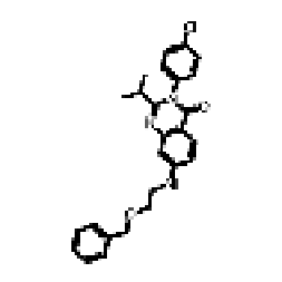 CC(C)c1nc2cc(NCCOCc3ccccc3)ccc2c(=O)n1-c1ccc(Cl)cc1